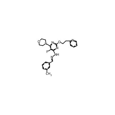 Cc1cccc(/C=N/Nc2nc(OCCc3ccccn3)nc(N3CCOCC3)c2F)c1